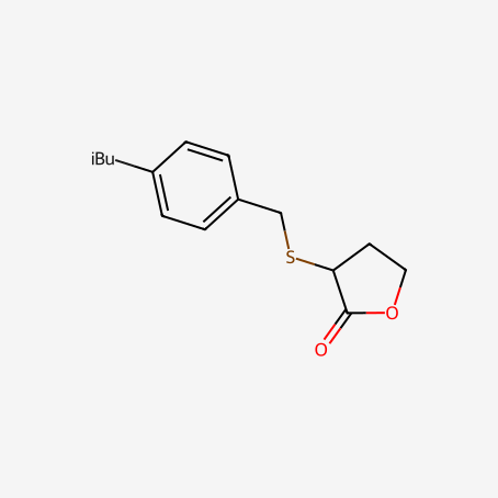 CCC(C)c1ccc(CSC2CCOC2=O)cc1